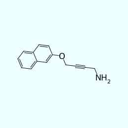 NCC#CCOc1ccc2ccccc2c1